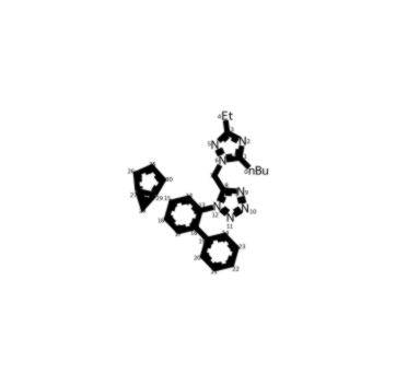 CCCCc1nc(CC)nn1Cc1nnnn1-c1ccccc1-c1ccccc1.c1cc2cc-2c1